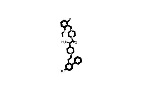 CCOc1cccc(F)c1CN1CCN(C(=O)[C@H](N)C2CCN(CCc3cc(O)ccc3-c3ccccc3)CC2)CC1